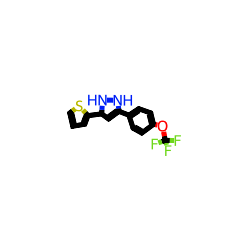 FC(F)(F)Oc1ccc(C2=CC(c3cccs3)NN2)cc1